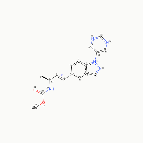 C[C@@H](/C=C/c1ccc2c(cnn2-c2cncnc2)c1)NC(=O)OC(C)(C)C